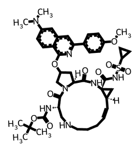 COc1ccc(-c2cc3cc(N(C)C)ccc3c(OC3C[C@H]4C(=O)N[C@]5(C(=O)NS(=O)(=O)C6CC6)C[C@H]5/C=C\CCCNC[C@H](NC(=O)OC(C)(C)C)C(=O)N4C3)n2)cc1